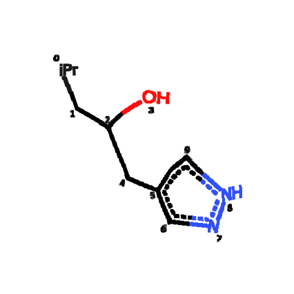 CC(C)CC(O)Cc1cn[nH]c1